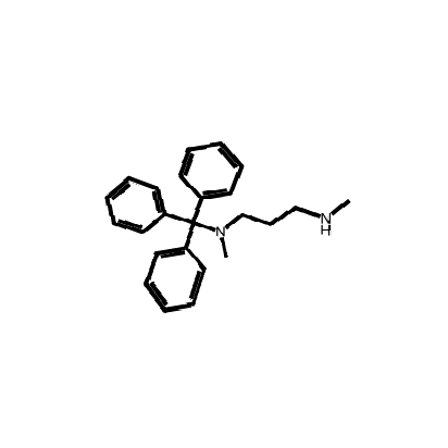 CNCCCN(C)C(c1ccccc1)(c1ccccc1)c1ccccc1